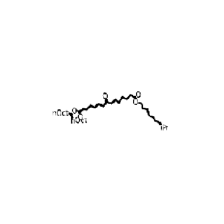 CCCCCCCCC(CCCCCCCC)OC(=O)CCCCCCC(=O)CCCCCCC(=O)OCCCCCCCC(C)C